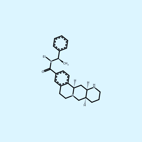 CCN(C(=O)c1ccc2c(c1)CCN1C[C@@H]3CCCN[C@@H]3C[C@H]21)[C@H](C)c1ccccc1